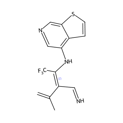 C=C(C)/C(C=N)=C(/Nc1cncc2sccc12)C(F)(F)F